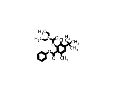 CCN(CC)C(=O)Oc1c(Cl)c(C(C)(C)C)cc(C)c1C(=O)Oc1ccccc1